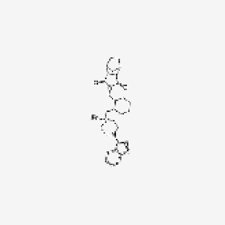 CC(C)[N+]1(C[C@@H]2CCCCC2CN2C(=O)C3C4CCC(C4)C3C2=O)CCN(c2nsc3ccccc23)CC1